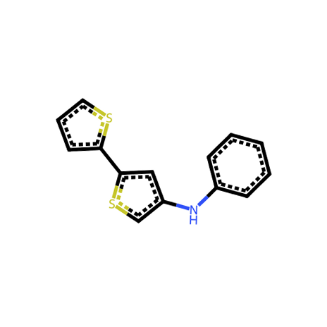 c1ccc(Nc2csc(-c3cccs3)c2)cc1